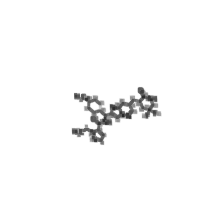 CCn1nccc1C(=O)N[C@H](c1cn2ncc(CC3CC(F)(F)CNC3=O)cc2n1)[C@H]1CC[C@H](C)CC1